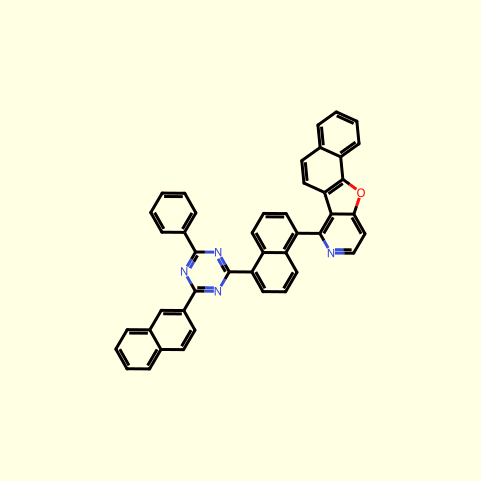 c1ccc(-c2nc(-c3ccc4ccccc4c3)nc(-c3cccc4c(-c5nccc6oc7c8ccccc8ccc7c56)cccc34)n2)cc1